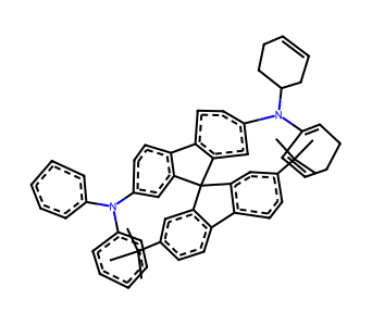 CC(C)(C)c1ccc2c(c1)C1(c3cc(N(c4ccccc4)c4ccccc4)ccc3-c3ccc(N(C4=CCCC=C4)C4CC=CCC4)cc31)c1cc(C(C)(C)C)ccc1-2